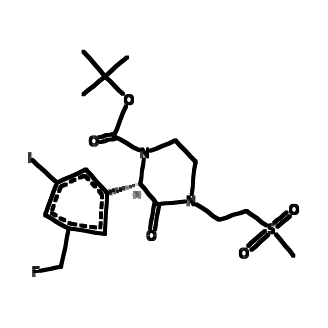 CC(C)(C)OC(=O)N1CCN(CCS(C)(=O)=O)C(=O)[C@@H]1c1cc(I)cc(CF)c1